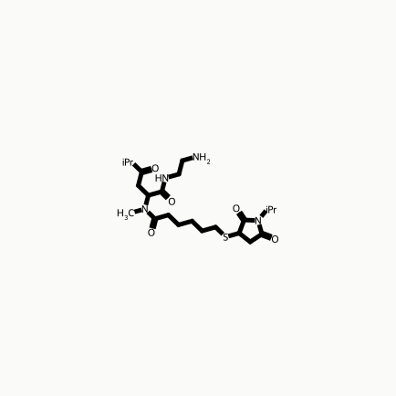 CC(C)C(=O)CC(C(=O)NCCN)N(C)C(=O)CCCCCSC1CC(=O)N(C(C)C)C1=O